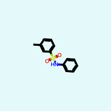 Cc1[c]ccc(S(=O)(=O)Nc2ccccc2)c1